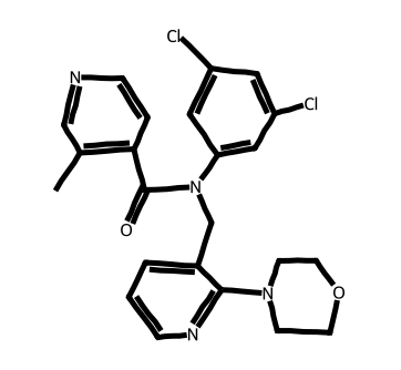 Cc1cnccc1C(=O)N(Cc1cccnc1N1CCOCC1)c1cc(Cl)cc(Cl)c1